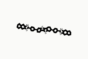 c1ccc2cc3sc(-c4ccc(-c5ccc6c(c5)sc5c7ccc(-c8ccc(-c9nc%10cc%11ccccc%11cc%10s9)cc8)cc7sc65)cc4)nc3cc2c1